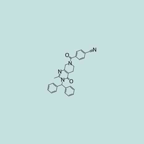 Cc1nc2c(c(=O)n1C(c1ccccc1)c1ccccc1)CCN(C(=O)c1ccc(C#N)cc1)C2